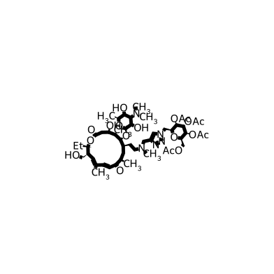 CC[C@H]1OC(=O)C[C@@H](O)[C@H](C)[C@@H](O[C@@H]2O[C@H](C)C(O)C(N(C)C)C2O)[C@@H](CCN(C)Cc2cn(C[C@@H]3O[C@H](COC(C)=O)[C@@H](OC(C)=O)[C@H](OC(C)=O)[C@H]3OC(C)=O)nn2)C[C@@H](C)C(=O)/C=C/C(C)=C/[C@@H]1CO